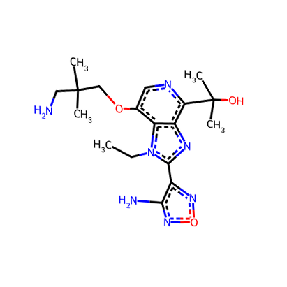 CCn1c(-c2nonc2N)nc2c(C(C)(C)O)ncc(OCC(C)(C)CN)c21